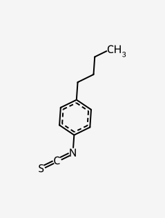 CCCCc1ccc(N=C=S)cc1